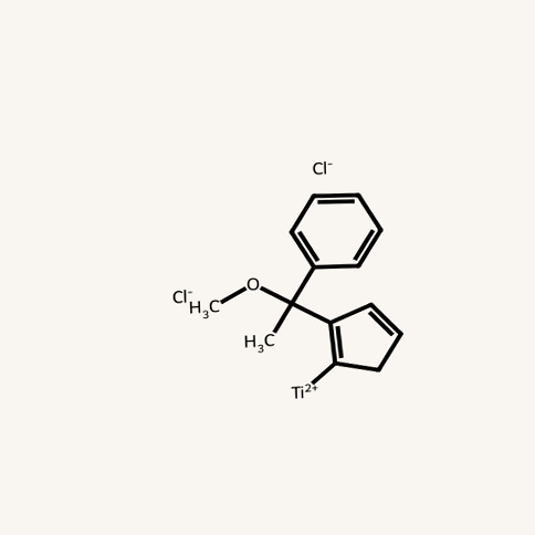 COC(C)(C1=[C]([Ti+2])CC=C1)c1ccccc1.[Cl-].[Cl-]